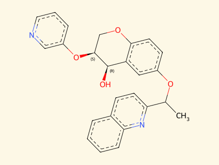 CC(Oc1ccc2c(c1)[C@@H](O)[C@@H](Oc1cccnc1)CO2)c1ccc2ccccc2n1